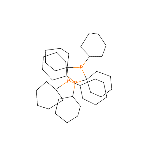 C1CCC(P(C2CCCCC2)C2(P(C3CCCCC3)C3(P(C4CCCCC4)C4CCCCC4)CCCCC3)CCCCC2)CC1